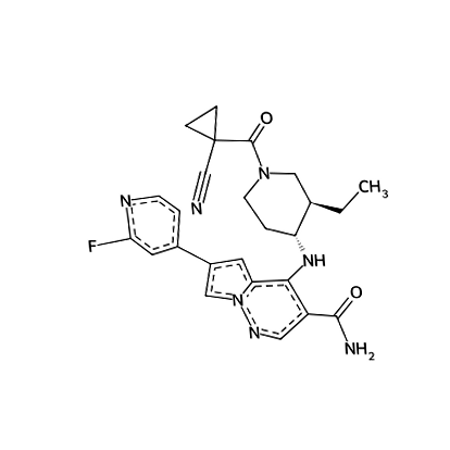 CC[C@@H]1CN(C(=O)C2(C#N)CC2)CC[C@H]1Nc1c(C(N)=O)cnn2cc(-c3ccnc(F)c3)cc12